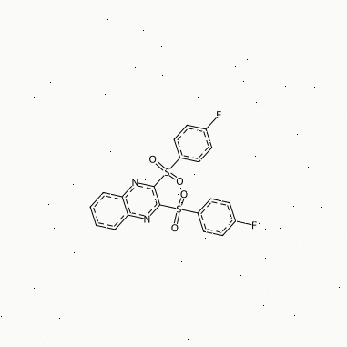 O=S(=O)(c1ccc(F)cc1)c1nc2ccccc2nc1S(=O)(=O)c1ccc(F)cc1